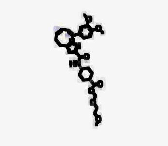 COCCOCOC(=O)[C@H]1CC[C@H](NC(=O)c2cc3n(n2)/C(c2ccc(OC)c(OC)c2)=C\C=C/CC3)CC1